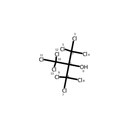 OC(C(Cl)(Cl)Cl)(C(Cl)(Cl)Cl)C(Cl)(Cl)Cl